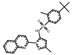 Cc1cc(NS(=O)(=O)c2ccc(C(C)(C)C)cc2C)n(-c2ccc3ccccc3n2)n1